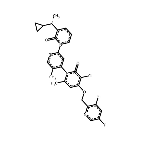 Cc1cnc(-n2cccc([C@@H](C)C3CC3)c2=O)cc1-n1c(C)cc(OCc2ncc(F)cc2F)c(Cl)c1=O